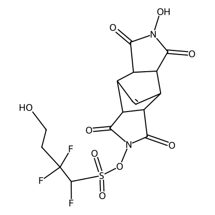 O=C1C2C3C=CC(C2C(=O)N1O)C1C(=O)N(OS(=O)(=O)C(F)C(F)(F)CCO)C(=O)C31